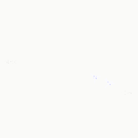 CCCCCCCCCCCCCCCCCCCn1cc[n+](CCCCCCCCCCC)c1Cc1ccccc1